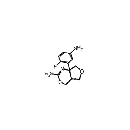 NC1=NC2(c3cc(N)ccc3F)COCC2CO1